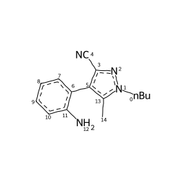 CCCCn1nc(C#N)c(-c2ccccc2N)c1C